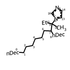 CCCCCCCCCCCCCCCCC(CCCCCCCCCC)C(C)(CC)n1ccnc1